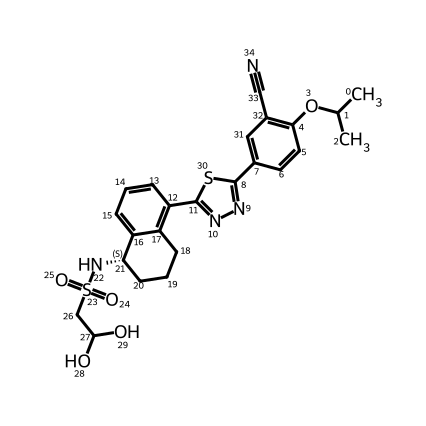 CC(C)Oc1ccc(-c2nnc(-c3cccc4c3CCC[C@@H]4NS(=O)(=O)CC(O)O)s2)cc1C#N